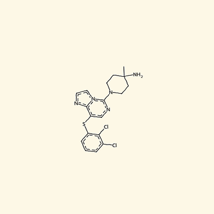 CC1(N)CCN(c2ncc(Sc3cccc(Cl)c3Cl)c3nccn23)CC1